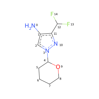 Nc1cn(C2CCCCO2)nc1C(F)F